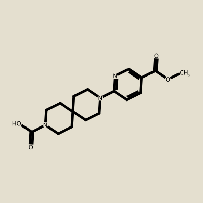 COC(=O)c1ccc(N2CCC3(CCN(C(=O)O)CC3)CC2)nc1